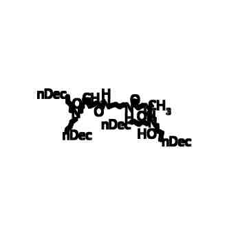 CCCCCCCCCCCCCCN(CCN(C)CCC(=O)NCCCCNC(=O)CCN(C)CCN(CC(O)CCCCCCCCCCCC)CC(O)CCCCCCCCCCCC)CC(O)CCCCCCCCCCCC